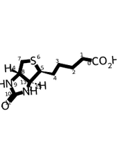 O=C(O)CCCC[C@@H]1SC[C@H]2NC(=O)N[C@H]12